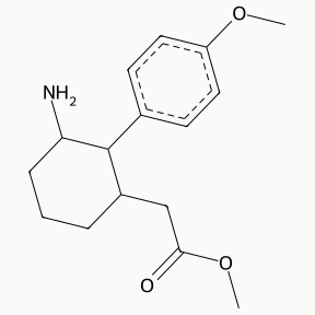 COC(=O)CC1CCCC(N)C1c1ccc(OC)cc1